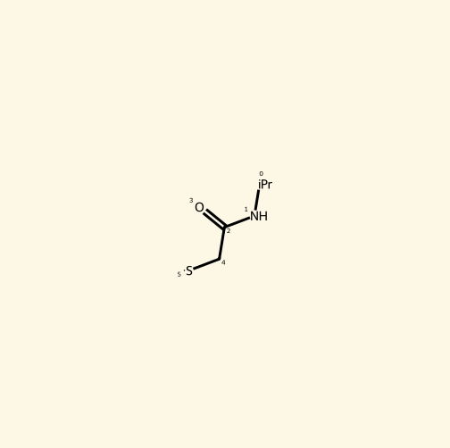 CC(C)NC(=O)C[S]